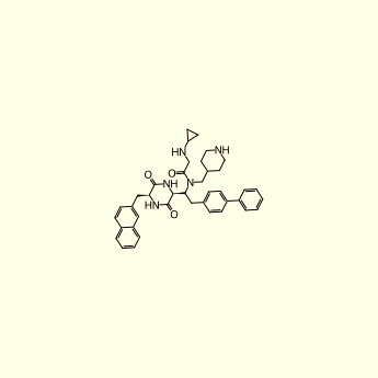 O=C1N[C@@H](C(Cc2ccc(-c3ccccc3)cc2)N(CC2CCNCC2)C(=O)CNC2CC2)C(=O)N[C@H]1Cc1ccc2ccccc2c1